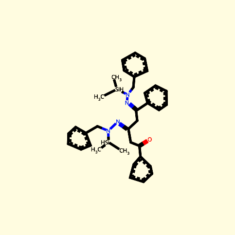 C[SiH](C)N(Cc1ccccc1)N=C(CC(=O)c1ccccc1)CC(=NN(Cc1ccccc1)[SiH](C)C)c1ccccc1